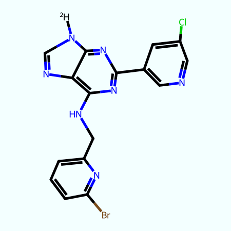 [2H]n1cnc2c(NCc3cccc(Br)n3)nc(-c3cncc(Cl)c3)nc21